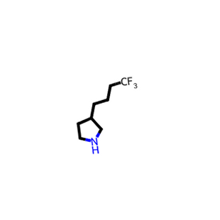 FC(F)(F)CCCC1CCNC1